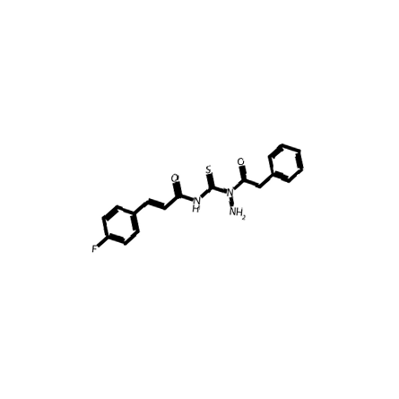 NN(C(=O)Cc1ccccc1)C(=S)NC(=O)C=Cc1ccc(F)cc1